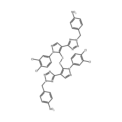 O=[N+]([O-])c1ccc(Cn2nnc(-c3cnn(-c4ccc(Cl)c(Cl)c4)c3SSc3c(-c4nnn(Cc5ccc([N+](=O)[O-])cc5)n4)cnn3-c3ccc(Cl)c(Cl)c3)n2)cc1